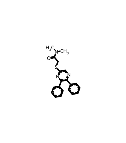 CN(C)C(=O)CSc1cnc(-c2ccccc2)c(-c2ccccc2)n1